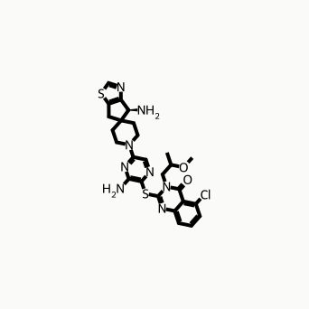 COC(C)Cn1c(Sc2ncc(N3CCC4(CC3)Cc3scnc3[C@H]4N)nc2N)nc2cccc(Cl)c2c1=O